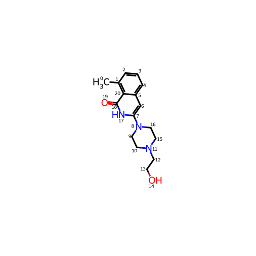 Cc1cccc2cc(N3CCN(CCO)CC3)[nH]c(=O)c12